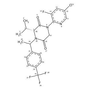 CC(C)[C@@H]1C(=O)N(c2ncc(Cl)cc2F)CC(=O)N1C(C)c1ccc(C(F)(F)F)cc1